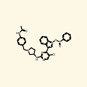 CC(=O)Nc1ccc(CN2CCC(Nc3ncc(Cl)c(-c4cn(OS(=O)c5ccccc5)c5ccccc45)n3)C2)cc1